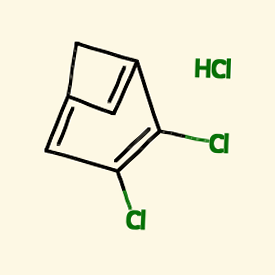 Cl.Clc1cc2cc(c1Cl)C2